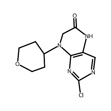 O=C1CN(C2CCOCC2)c2nc(Cl)ncc2N1